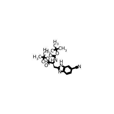 CC(C)(C)OC(=O)N[C@@H](Cc1nc2ccc(C#N)cc2[nH]1)C(=O)OC(C)(C)C